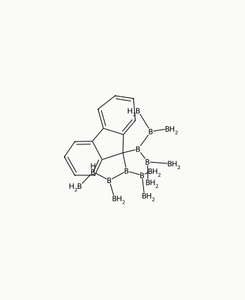 BBB(B)B(B(B)B)C1(B(B(B)B)B(B)B)c2ccccc2-c2ccccc21